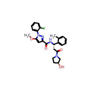 COc1cc(C(=O)N[C@@H](CC(=O)N2CC[C@H](O)C2)c2ccccc2C)nn1-c1ccccc1F